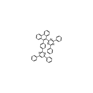 c1ccc(-c2cc(-c3ccccc3)nc(-c3ccc(-c4c(-c5nc(-c6ccccc6)nc(-c6ccccc6)n5)c5ccccc5c5ccccc45)cc3)n2)cc1